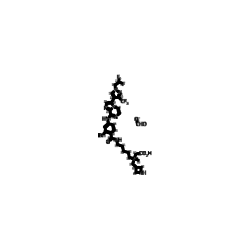 CCc1cc(Nc2nccn3c(-c4cn(CC(F)F)nc4C(F)(F)F)cnc23)ccc1C(=O)NCCCCC[N+](C)(CC(=O)O)CC1CNC1.O=C[O-]